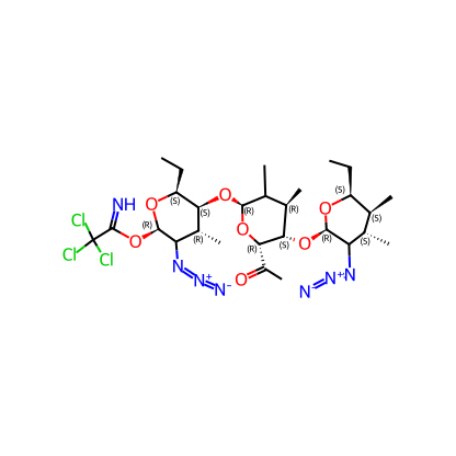 CC[C@@H]1O[C@H](O[C@H]2[C@H](C)C(C)[C@H](O[C@@H]3[C@H](CC)O[C@H](OC(=N)C(Cl)(Cl)Cl)C(N=[N+]=[N-])[C@H]3C)O[C@H]2C(C)=O)C(N=[N+]=[N-])[C@@H](C)[C@@H]1C